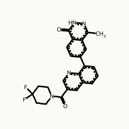 Cc1n[nH]c(=O)c2ccc(-c3cccc4cc(C(=O)N5CCC(F)(F)CC5)cnc34)cc12